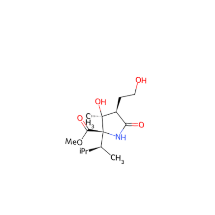 COC(=O)[C@]1([C@@H](C)C(C)C)NC(=O)[C@H](CCO)[C@]1(C)O